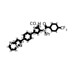 CC(C)N(C(=O)C1CCC(C(F)(F)F)CC1)c1cc(-c2ccc(-c3cc4ncccn4n3)cc2)sc1C(=O)O